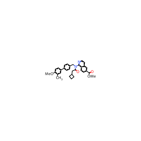 COC(=O)c1ccc2c(N(Cc3ccc(-c4ccc(OC)c(C)c4)cc3)C(=O)CC3CCC3)nccc2c1